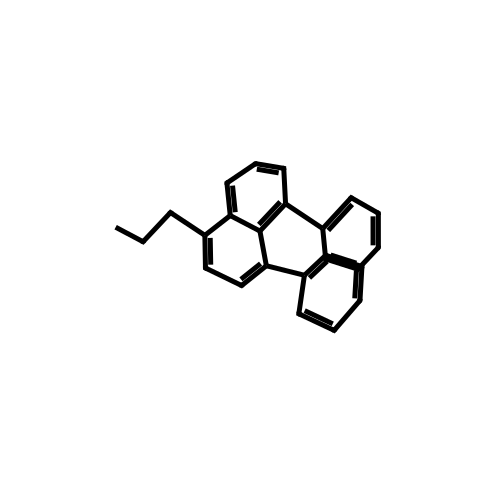 CCCc1ccc(-c2ccccc2)c2c(-c3ccccc3)cccc12